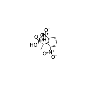 CC(c1c([N+](=O)[O-])[c]ccc1[N+](=O)[O-])P(=O)(O)O